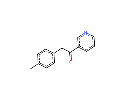 Cc1ccc(CC(=O)c2cccnc2)cc1